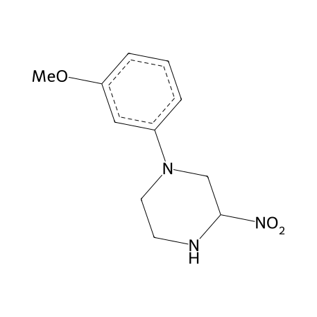 COc1cccc(N2CCNC([N+](=O)[O-])C2)c1